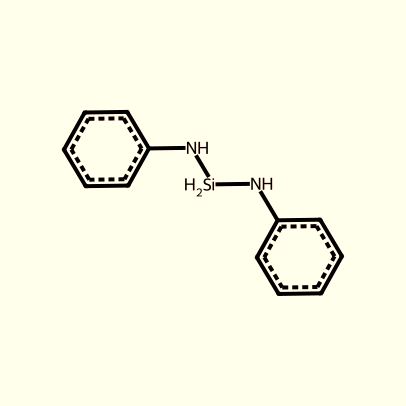 c1ccc(N[SiH2]Nc2ccccc2)cc1